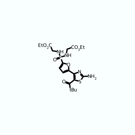 CCOC(=O)CNP(=O)(NCC(=O)OCC)c1ccc(-c2nc(N)sc2C(=O)C(C)(C)C)o1